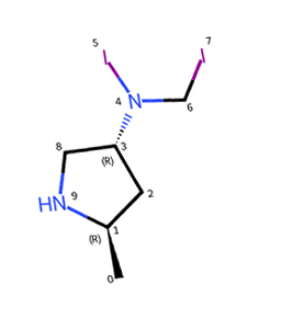 C[C@@H]1C[C@@H](N(I)CI)CN1